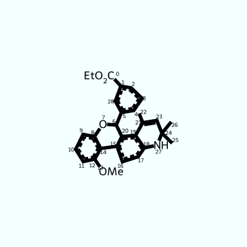 CCOC(=O)c1cccc(C2Oc3cccc(OC)c3-c3ccc4c(c32)C(C)=CC(C)(C)N4)c1